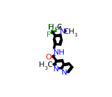 Cc1nc2ncccc2cc1C(=O)NCc1ccc(N(C)C)c(C(F)(F)F)c1